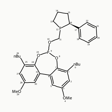 CCCCc1cc(OC)cc2c1op(OCP1CCC[C@H]1c1ccccc1)oc1c(CCCC)cc(OC)cc12